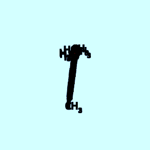 CCCCCCCCCCCCCCCCCCCCCCCCCCCCCCCCCCCCCCCCCCCCCCCCCCCCCCCCCCCCCCCCCNC(=O)OCC(C)(COC(=O)C(C)OC(=O)C(C)O)C(C)=O